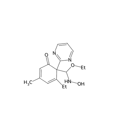 CCOC(NO)C1(c2ncccn2)C(=O)C=C(C)C=C1CC